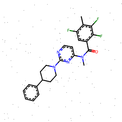 Cc1c(F)cc(C(=O)N(C)c2ccnc(N3CCC(c4ccccc4)CC3)n2)c(F)c1F